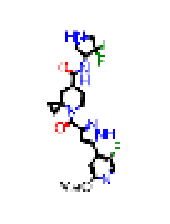 COc1cc(-c2cc(C(=O)N3CCC(C(=O)NC4CNCC4(F)F)CC34CC4)n[nH]2)c(F)cn1